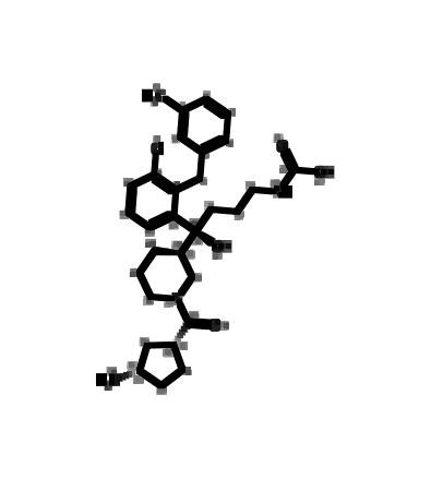 Cc1cccc(Cc2c(Cl)cccc2[C@](O)(CCCNC(=O)O)[C@@H]2CCCN(C(=O)[C@@H]3CC[C@H](N)C3)C2)c1